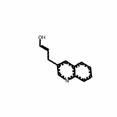 O/C=C/Cc1cnc2ccccc2c1